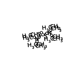 CC(C)(C)C1=CC=C(N(c2ccc(C(C)(C)C)cc2)c2ccc3c(c2)sc2cc4c5c(cccc5c23)Sc2cc(N(c3ccc(C(C)(C)C)cc3)c3ccc(C(C)(C)C)cc3)ccc2-4)CC1